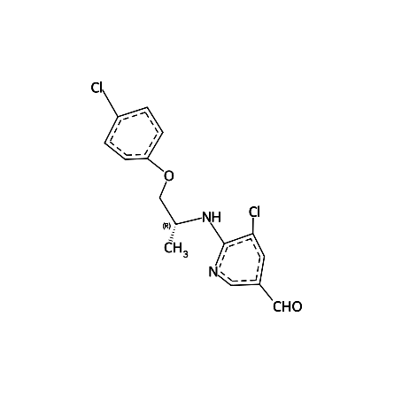 C[C@H](COc1ccc(Cl)cc1)Nc1ncc(C=O)cc1Cl